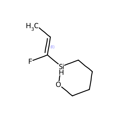 C/C=C(\F)[SiH]1CCCCO1